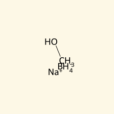 CO.[BH4-].[Na+]